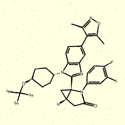 [2H]C([2H])([2H])O[C@H]1CC[C@H](n2c([C@]34C[C@H]3CC(=O)N4c3ccc(F)c(F)c3)nc3cc(-c4c(C)noc4C)ccc32)CC1